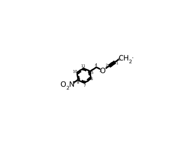 [CH2]C#COCc1ccc([N+](=O)[O-])cc1